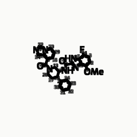 COc1ccc(F)c2[nH]c(C(=O)N[C@@H]3CN(C(=O)c4cccn5cncc45)CC[C@H]3c3ccccc3)nc12